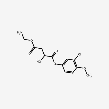 COc1ccc(OC(=O)C(O)CC(=O)OCN)cc1Cl